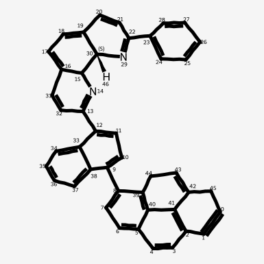 C1#Cc2ccc3ccc(-c4ccc(C5=NC6C(=CC=C7C=CC(c8ccccc8)=N[C@@H]76)C=C5)c5ccccc45)c4c3c2C(=CC4)C1